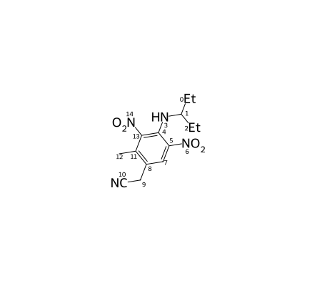 CCC(CC)Nc1c([N+](=O)[O-])cc(CC#N)c(C)c1[N+](=O)[O-]